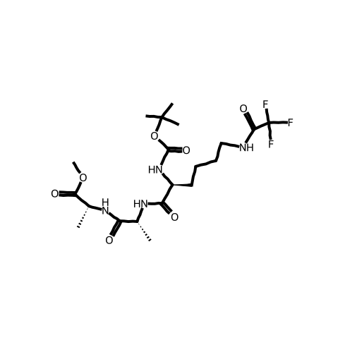 COC(=O)[C@@H](C)NC(=O)[C@@H](C)NC(=O)[C@H](CCCCNC(=O)C(F)(F)F)NC(=O)OC(C)(C)C